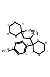 CCCCCC1(CC(C#N)C2(c3ccc(CCCC)cc3)CCCCC2)CCCCC1